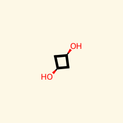 O[C@H]1C[C@@H](O)C1